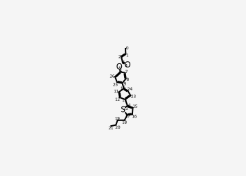 C/C=C/C(=O)Oc1ccc(-c2ccc(-c3ccc(CCCC)s3)cc2)cc1